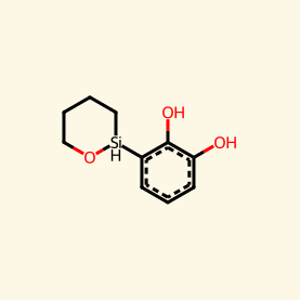 Oc1cccc([SiH]2CCCCO2)c1O